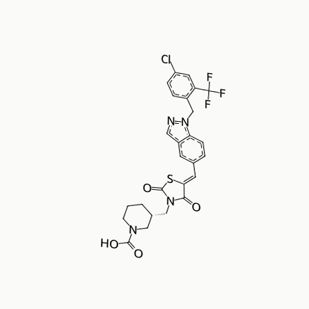 O=C(O)N1CCC[C@H](CN2C(=O)SC(=Cc3ccc4c(cnn4Cc4ccc(Cl)cc4C(F)(F)F)c3)C2=O)C1